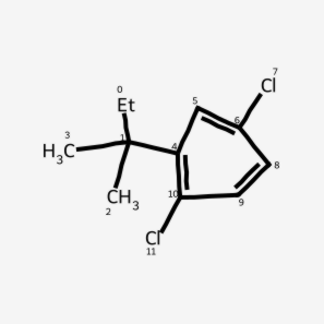 CCC(C)(C)c1cc(Cl)ccc1Cl